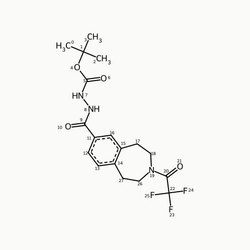 CC(C)(C)OC(=O)NNC(=O)c1ccc2c(c1)CCN(C(=O)C(F)(F)F)CC2